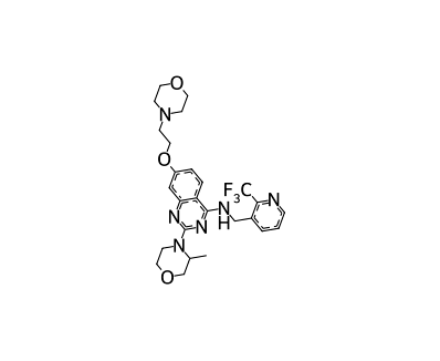 CC1COCCN1c1nc(NCc2cccnc2C(F)(F)F)c2ccc(OCCN3CCOCC3)cc2n1